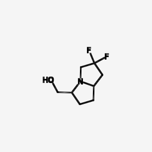 OCC1CCC2CC(F)(F)CN12